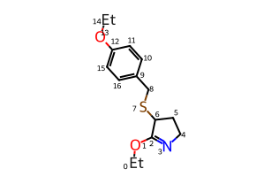 CCOC1=NCCC1SCc1ccc(OCC)cc1